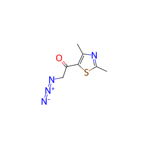 Cc1nc(C)c(C(=O)CN=[N+]=[N-])s1